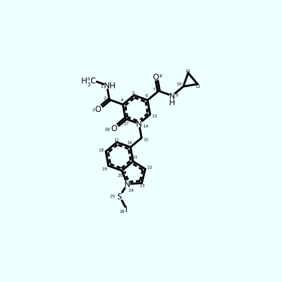 CNC(=O)c1cc(C(=O)NC2CC2)cn(Cc2cccc3c2ccn3SI)c1=O